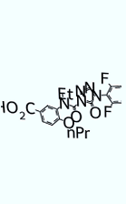 CCCOc1ccc(C(=O)O)cc1N(CC)C(=O)n1nnn(-c2c(F)cccc2F)c1=O